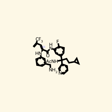 C=C(/C=C(\Nc1cccc(CN)c1)C(=O)Nc1cc(C(CCC2CC2)(NC(C)=O)c2cccnc2)ccc1F)C(F)(F)F